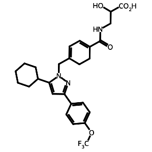 O=C(NCC(O)C(=O)O)C1=CC=C(Cn2nc(-c3ccc(OC(F)(F)F)cc3)cc2C2CCCCC2)CC1